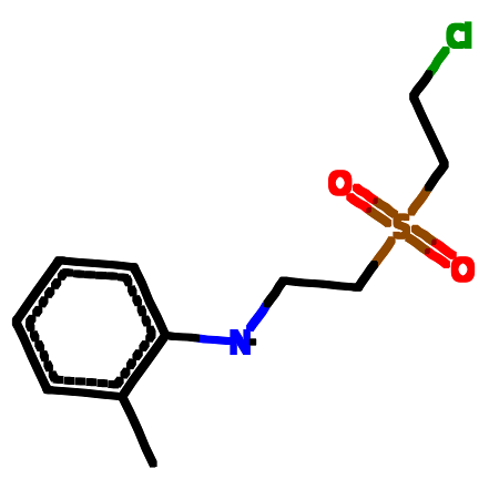 Cc1ccccc1[N]CCS(=O)(=O)CCCl